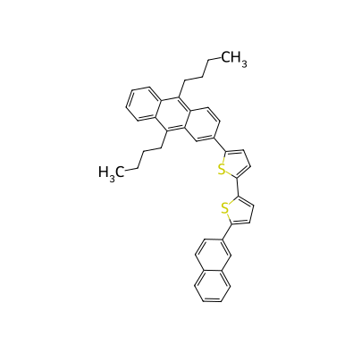 CCCCc1c2ccccc2c(CCCC)c2cc(-c3ccc(-c4ccc(-c5ccc6ccccc6c5)s4)s3)ccc12